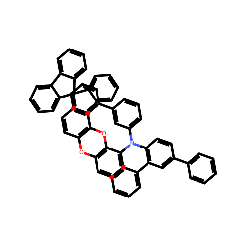 c1ccc(-c2cccc(N(c3ccc(-c4ccccc4)cc3-c3ccccc3)c3cccc4c3Oc3c(ccc5c3-c3ccccc3C53c5ccccc5-c5ccccc53)O4)c2)cc1